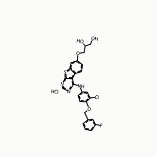 Cl.OC[C@H](O)COc1ccc2c(c1)sc1ncnc(Nc3ccc(OCc4cccc(F)c4)c(Cl)c3)c12